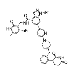 CCCc1cc(C)[nH]c(=O)c1CNC(=O)c1cc(-c2ccc(N3CCN(Cc4ccccc4C4CCC(=O)NC4=O)CC3)nc2)cc2c1cnn2C(C)C